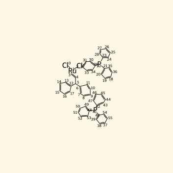 [Cl][Ru]([Cl])[CH]=CC(c1ccccc1)c1ccccc1.c1ccc(P(c2ccccc2)c2ccccc2)cc1.c1ccc(P(c2ccccc2)c2ccccc2)cc1